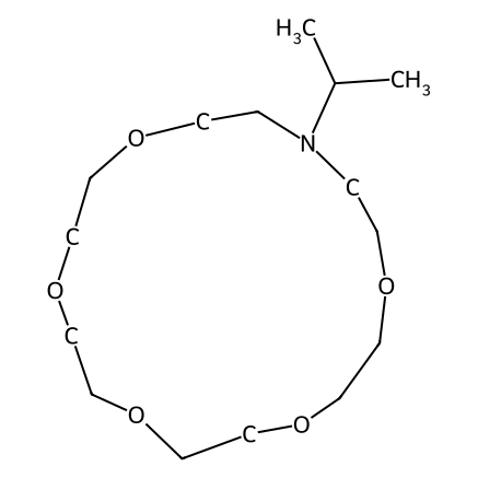 CC(C)N1CCOCCOCCOCCOCCOCC1